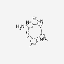 CCc1ncn2c1-c1cnc(N)c(c1)OC(C)c1cc(C)ccc1-c1nn(C)cc1C2